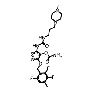 Cc1cc(F)c(COc2nsc(NC(=O)NCCCN3CCN(C)CC3)c2OC(N)=O)c(F)c1F